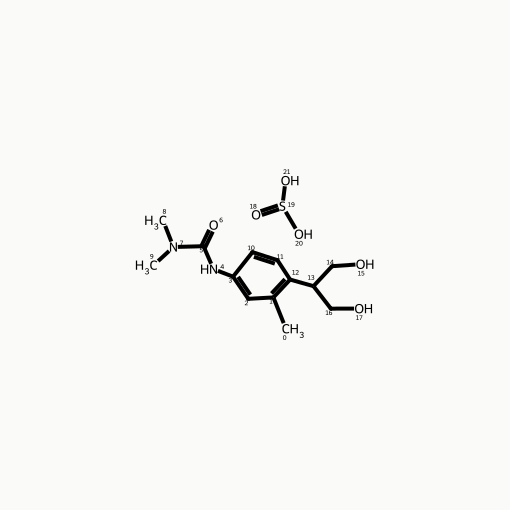 Cc1cc(NC(=O)N(C)C)ccc1C(CO)CO.O=S(O)O